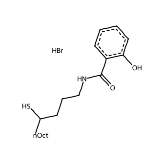 Br.CCCCCCCCC(S)CCCNC(=O)c1ccccc1O